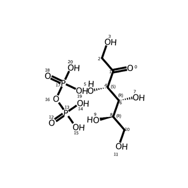 O=C(CO)[C@@H](O)[C@H](O)[C@H](O)CO.O=P(O)(O)OP(=O)(O)O